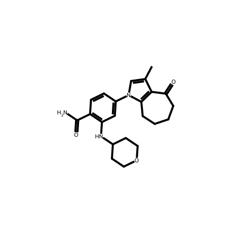 Cc1cn(-c2ccc(C(N)=O)c(NC3CCOCC3)c2)c2c1C(=O)CCCC2